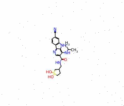 CC(C)Nc1c(C(=O)NCC2CCS(O)(O)C2)cnc2c1[nH]c1cc(C#N)ccc12